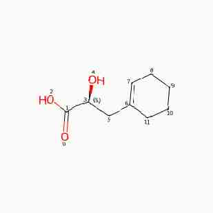 O=C(O)[C@@H](O)CC1=CCCCC1